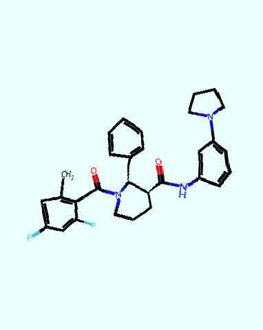 Cc1cc(F)cc(F)c1C(=O)N1CCC[C@H](C(=O)Nc2cccc(N3CCCC3)c2)[C@@H]1c1ccccc1